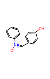 [O-]/[N+](=C/c1ccc(O)cc1)c1ccccc1